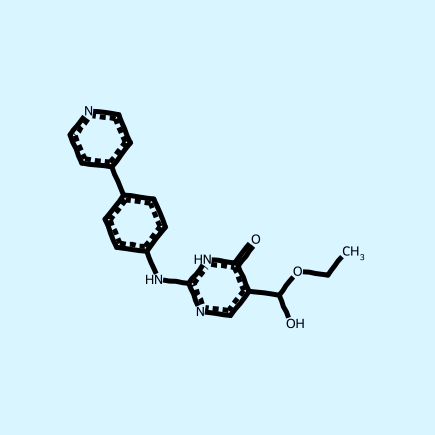 CCOC(O)c1cnc(Nc2ccc(-c3ccncc3)cc2)[nH]c1=O